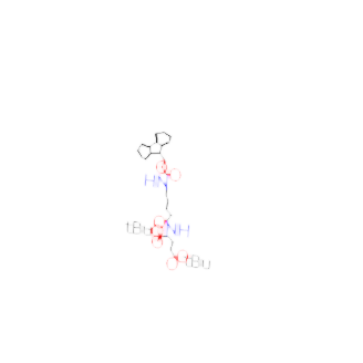 CC(C)(C)OC(=O)CCC(NC(=O)CCCCCNC(=O)OCC1c2ccccc2-c2ccccc21)C(=O)OC(C)(C)C